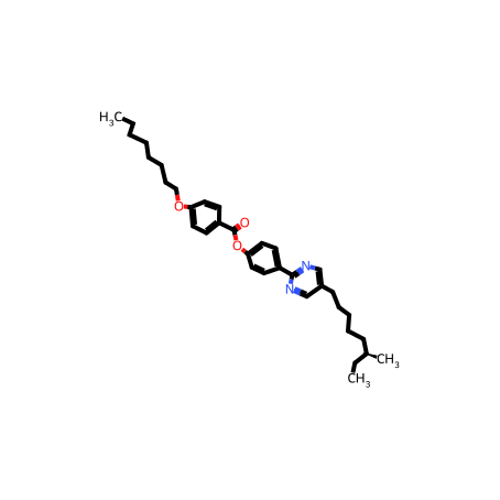 CCCCCCCCOc1ccc(C(=O)Oc2ccc(-c3ncc(CCCCC[C@@H](C)CC)cn3)cc2)cc1